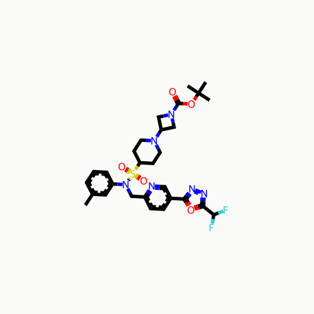 Cc1cccc(N(Cc2ccc(-c3nnc(C(F)F)o3)cn2)S(=O)(=O)C2CCN(C3CN(C(=O)OC(C)(C)C)C3)CC2)c1